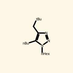 CCCCCCn1nnc(CC(C)(C)C)c1CCCC